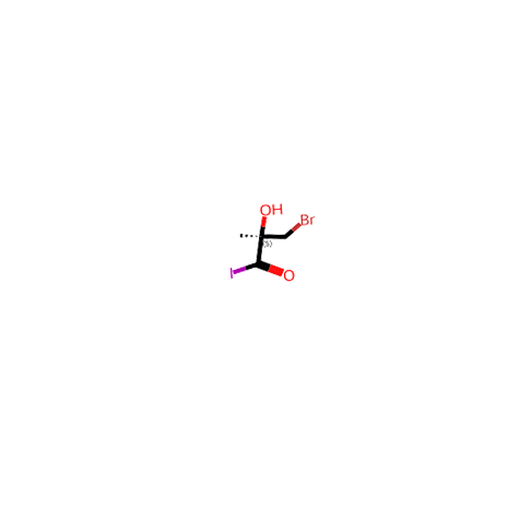 C[C@](O)(CBr)C(=O)I